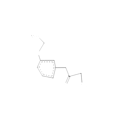 CCOC(=O)CC(=O)Cc1cccc(OCOC)c1